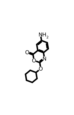 Nc1ccc2nc(OC3CCCCC3)oc(=O)c2c1